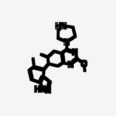 COc1nc2c(c(N3CCNCC3)n1)CC(C)C(c1c(C)ccc3[nH]ncc13)C2